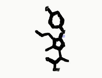 CCCn1c(C)c(C(C)C(=O)O)s/c1=N/c1ccc(Cl)cc1